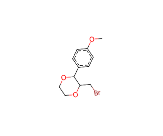 COc1ccc(C2OCCOC2CBr)cc1